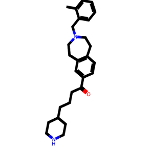 Cc1ccccc1CN1CCc2ccc(C(=O)CCCC3CCNCC3)cc2CC1